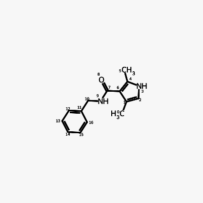 Cc1c[nH]c(C)c1C(=O)NCc1ccccc1